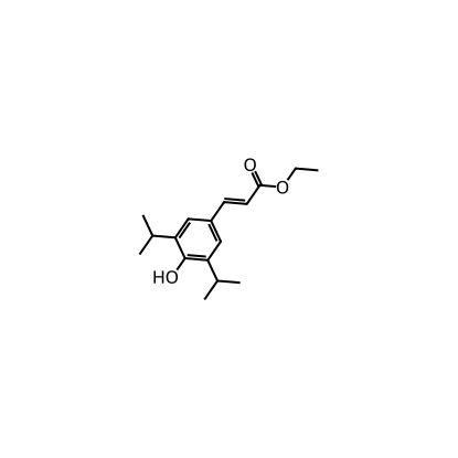 CCOC(=O)C=Cc1cc(C(C)C)c(O)c(C(C)C)c1